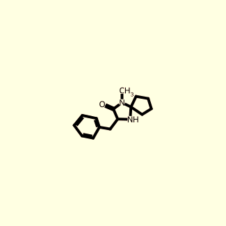 CN1C(=O)C(Cc2ccccc2)NC12CCCC2